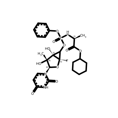 C[C@H](NP(=O)(Oc1ccccc1)OC1[C@]2(O)[C@@](C)(O)[C@H](n3ccc(=O)[nH]c3=O)O[C@]12F)C(=O)OC1CCCCC1